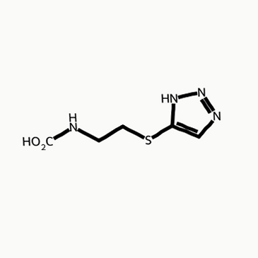 O=C(O)NCCSc1cnn[nH]1